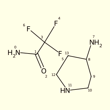 NC(=O)C(F)(F)F.NC1CCNCC1